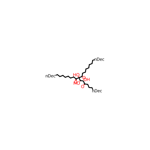 CCCCCCCCCCCCCCCCCC(=O)C(O)(C(=O)CCCCCCCCCCCCCCCCC)C(O)C(O)C(=O)CCCCCCCCCCCCC